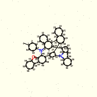 Cc1ccc(N(c2cc3c(c4ccccc24)-c2c(ccc4ccccc24)C32c3ccccc3-n3c4ccccc4c4cccc2c43)c2cccc3c2oc2ccccc23)cc1